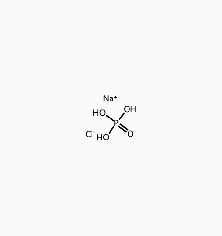 O=P(O)(O)O.[Cl-].[Na+]